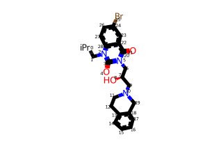 CC(C)Cn1c(=O)n(C[C@H](O)CN2CCc3ccccc3C2)c(=O)c2cc(Br)ccc21